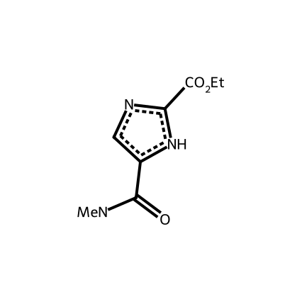 CCOC(=O)c1ncc(C(=O)NC)[nH]1